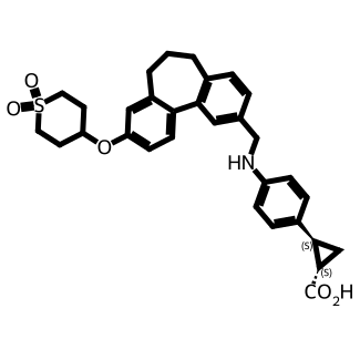 O=C(O)[C@H]1C[C@@H]1c1ccc(NCc2ccc3c(c2)-c2ccc(OC4CCS(=O)(=O)CC4)cc2CCC3)cc1